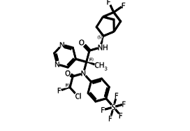 C[C@](C(=O)N[C@H]1CC2CC1CC2(F)F)(c1cncnc1)N(C(=O)[C@H](F)Cl)c1ccc(S(F)(F)(F)(F)F)cc1